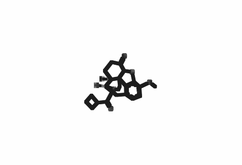 COc1ccc2c3c1OC1C(=O)CC[C@@H]4[C@H](C2)N(C(=O)C2CCC2)CCC314